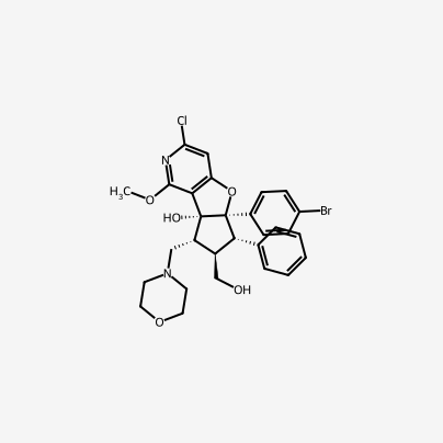 COc1nc(Cl)cc2c1[C@]1(O)[C@@H](CN3CCOCC3)[C@H](CO)[C@@H](c3ccccc3)[C@]1(c1ccc(Br)cc1)O2